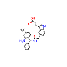 Cc1ccc(C(NC(=O)Cc2ccc3[nH]cc(CCC(=O)O)c3c2)c2ccccc2)c(N)c1